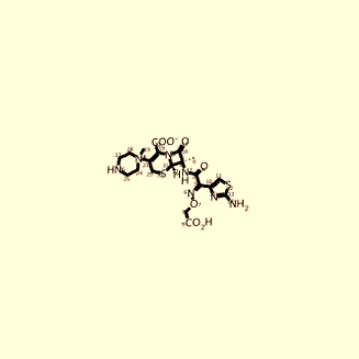 C[C@@]1(NC(=O)C(=NOCC(=O)O)c2csc(N)n2)C(=O)N2C(C(=O)[O-])=C([N+]3(C)CCNCC3)CS[C@H]21